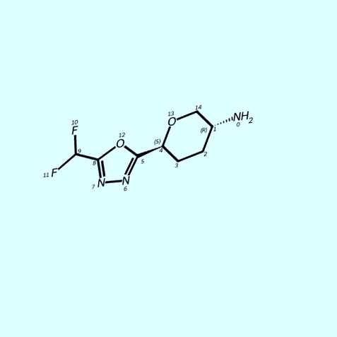 N[C@@H]1CC[C@@H](c2nnc(C(F)F)o2)OC1